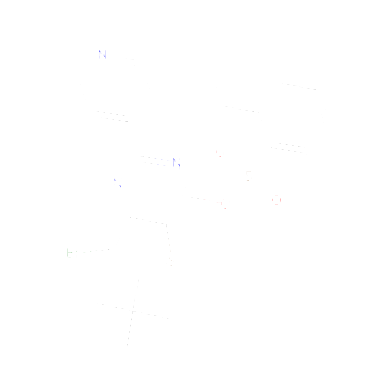 CC(C)c1ccccc1S(=O)(=O)Oc1nc(-c2ccncc2)nc2c(Br)c(C(C)(C)C)sc12